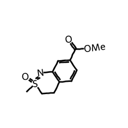 COC(=O)c1ccc2c(c1)N=S(C)(=O)CC2